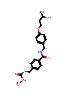 CC(O)CCOc1ccc(CNC(=O)c2ccc(CNC(=O)OC(C)(C)C)cc2)cc1